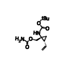 C=C[C@H]1C[C@@]1(COC(N)=O)NC(=O)OC(C)(C)C